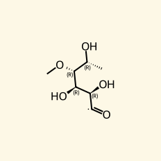 CO[C@@H]([C@H](O)[C@@H](O)[C]=O)[C@@H](C)O